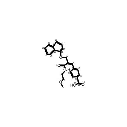 COCCNC(=O)C(=Cc1ccc(C(=O)O)cc1)COc1cccc2ccccc12